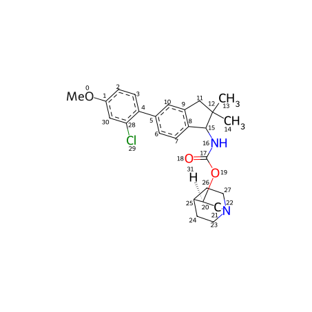 COc1ccc(-c2ccc3c(c2)CC(C)(C)C3NC(=O)O[C@H]2CN3CCC2CC3)c(Cl)c1